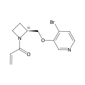 C=CC(=O)N1CC[C@H]1COc1cnccc1Br